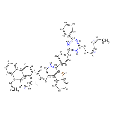 C=CC1c2ccccc2-c2ccc(-c3ccc4c(c3)nc(-c3ccc(-c5nc(CC/C=C\C=C/C)nc(-c6ccccc6)n5)cc3)c3sc5c(c34)=CCCC=5)cc2C1/C=C\C